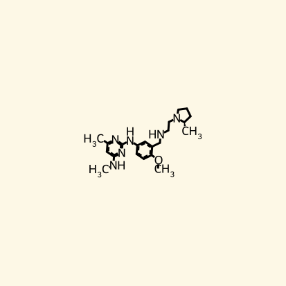 CNc1cc(C)nc(Nc2ccc(OC)c(CNCCN3CCC[C@H]3C)c2)n1